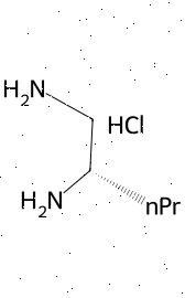 CCC[C@H](N)CN.Cl